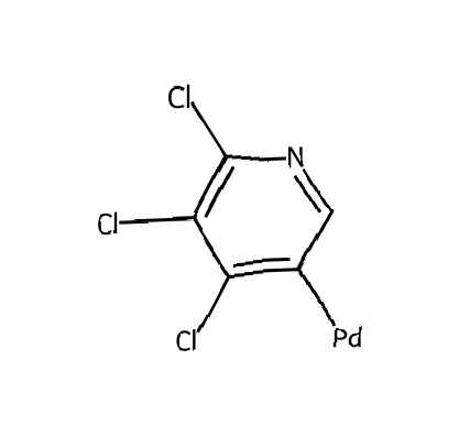 Clc1nc[c]([Pd])c(Cl)c1Cl